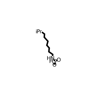 CC(C)CCCCCCCN[SH](=O)=O